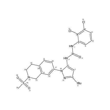 CC(C)(C)c1cc(NC(=O)Nc2cccc(Cl)c2Cl)n(-c2ccc3c(c2)CN(S(C)(=O)=O)CC3)n1